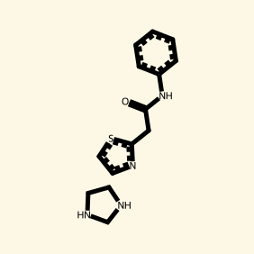 C1CNCN1.O=C(Cc1nccs1)Nc1ccccc1